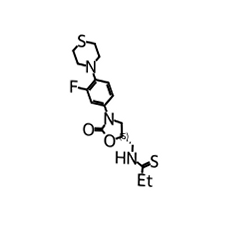 CCC(=S)NC[C@H]1CN(c2ccc(N3CCSCC3)c(F)c2)C(=O)O1